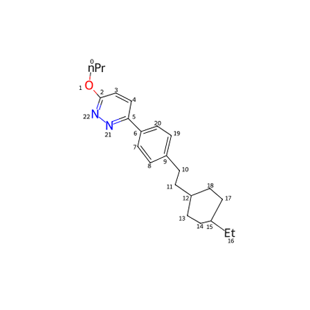 CCCOc1ccc(-c2ccc(CCC3CCC(CC)CC3)cc2)nn1